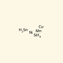 [Cu].[Mn].[Ni].[SiH4].[SnH2]